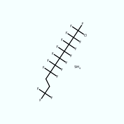 FC(F)(F)CCC(F)(F)C(F)(F)C(F)(F)C(F)(F)C(F)(F)C(F)(F)C(F)(F)Cl.[SiH4]